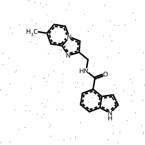 Cc1ccn2cc(CNC(=O)c3cccc4[nH]ccc34)nc2c1